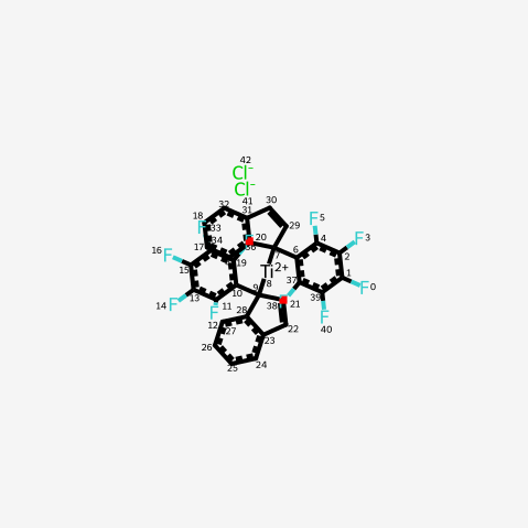 Fc1c(F)c(F)c([C]2([Ti+2][C]3(c4c(F)c(F)c(F)c(F)c4F)C=Cc4ccccc43)C=Cc3ccccc32)c(F)c1F.[Cl-].[Cl-]